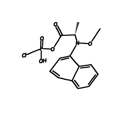 CON(c1cccc2ccccc12)[C@@H](C)C(=O)OP(=O)(O)Cl